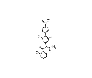 NC(=O)N(C(=O)c1ccccc1Cl)c1cc(Cl)c(-c2ccc([N+](=O)[O-])cc2)c(Cl)c1